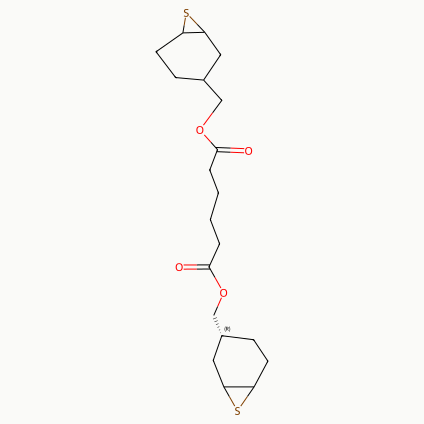 O=C(CCCCC(=O)OC[C@@H]1CCC2SC2C1)OCC1CCC2SC2C1